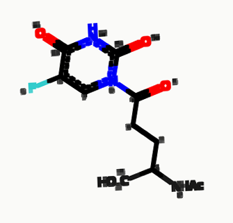 CC(=O)NC(CCC(=O)n1cc(F)c(=O)[nH]c1=O)C(=O)O